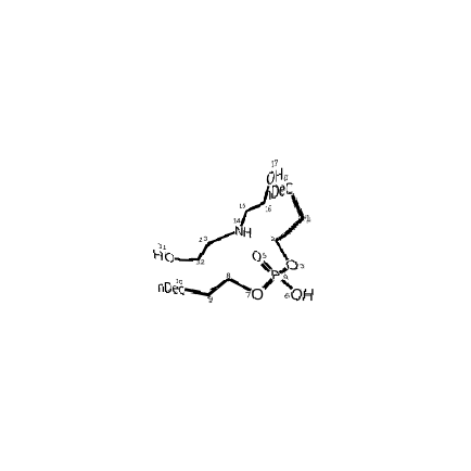 CCCCCCCCCCCCOP(=O)(O)OCCCCCCCCCCCC.OCCNCCO